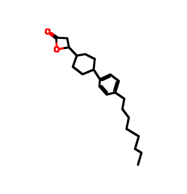 CCCCCCCCc1ccc(C2CCC(C3CC(=O)O3)CC2)cc1